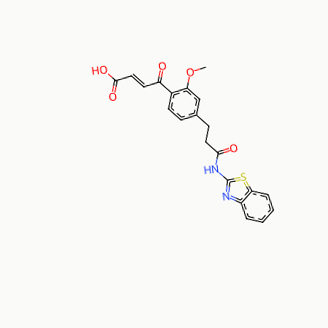 COc1cc(CCC(=O)Nc2nc3ccccc3s2)ccc1C(=O)C=CC(=O)O